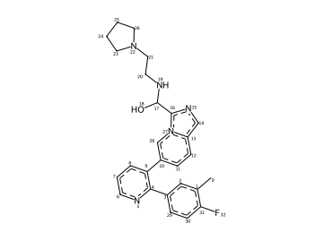 Cc1cc(-c2ncccc2-c2ccc3cnc(C(O)NCCN4CCCC4)n3c2)ccc1F